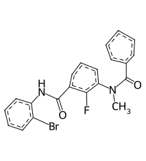 CN(C(=O)c1ccccc1)c1cccc(C(=O)Nc2ccccc2Br)c1F